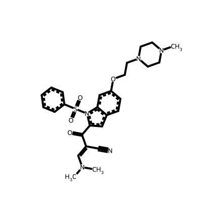 CN(C)C=C(C#N)C(=O)c1cc2ccc(OCCN3CCN(C)CC3)cc2n1S(=O)(=O)c1ccccc1